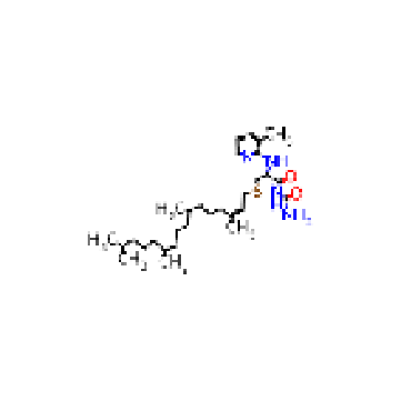 CC(=CCSCC(Nc1ncccc1C)C(=O)NC(N)=O)CCCC(C)CCCC(C)CCCC(C)C